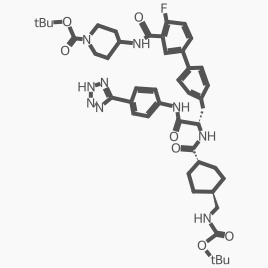 CC(C)(C)OC(=O)NC[C@H]1CC[C@H](C(=O)N[C@@H](Cc2ccc(-c3ccc(F)c(C(=O)NC4CCN(C(=O)OC(C)(C)C)CC4)c3)cc2)C(=O)Nc2ccc(-c3nn[nH]n3)cc2)CC1